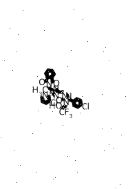 CC(c1nc(Cn2nc(-c3ccc(Cl)cc3)n(CC(O)C(F)(F)F)c2=O)nn1-c1ncccc1Cl)N1C(=O)c2ccccc2C1=O